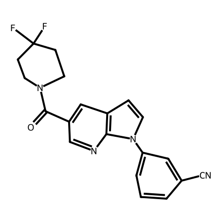 N#Cc1cccc(-n2ccc3cc(C(=O)N4CCC(F)(F)CC4)cnc32)c1